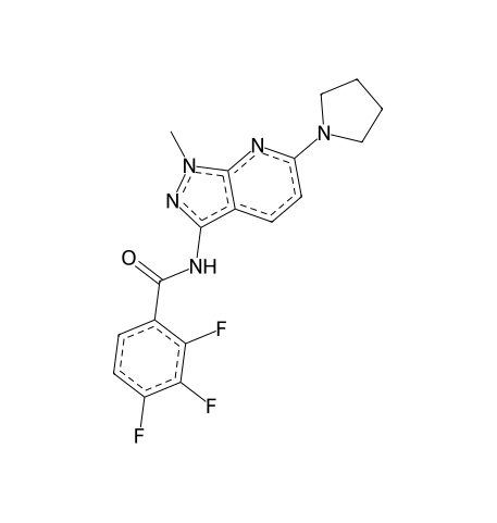 Cn1nc(NC(=O)c2ccc(F)c(F)c2F)c2ccc(N3CCCC3)nc21